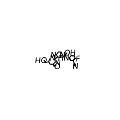 N#Cc1cc(NC(O)N2CCc3nn4c(c3C2)-c2nocc2CC(CO)C4)ccc1F